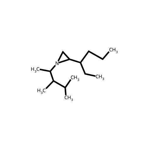 CCCC(CC)C1CN1C(C)C(C)C(C)C